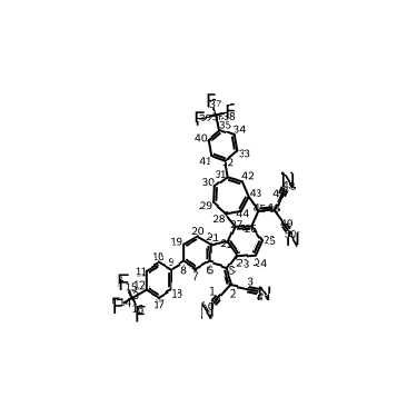 N#CC(C#N)=C1c2cc(-c3ccc(C(F)(F)F)cc3)ccc2-c2c1ccc1c2C2C=CC(c3ccc(C(F)(F)F)cc3)=CC(=C2)C1=C(C#N)C#N